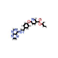 C/C=C(\C)OC(=O)c1ccc(Oc2ccc(CCNc3ncnc4nccnc34)cc2)nc1